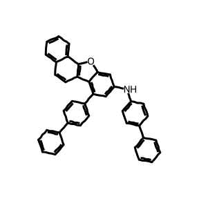 c1ccc(-c2ccc(Nc3cc(-c4ccc(-c5ccccc5)cc4)c4c(c3)oc3c5ccccc5ccc34)cc2)cc1